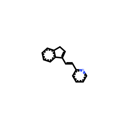 C(=Cc1ccccn1)C1=CCc2ccccc21